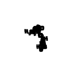 COc1ccc2ccc(=O)n(C[C@H](N)C3CCC(NCc4ccc5c(n4)NC(=O)CO5)CC3)c2c1